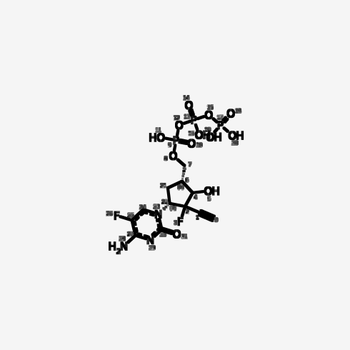 C#CC1(F)C(O)[C@@H](COP(=O)(O)OP(=O)(O)OP(=O)(O)O)C[C@H]1n1cc(F)c(N)nc1=O